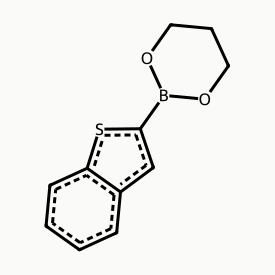 c1ccc2sc(B3OCCCO3)cc2c1